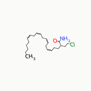 CCCCC/C=C\C/C=C\C/C=C\C/C=C\CCC(CCCl)C(N)=O